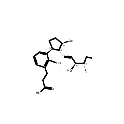 CC[C@H](C)[C@@H](O)/C=C/[C@H]1[C@H](O)CC[C@@H]1c1cccc(CCC(=O)O)c1O